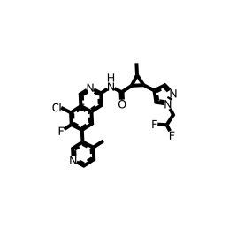 Cc1ccncc1-c1cc2cc(NC(=O)C3C(C)C3c3cnn(CC(F)F)c3)ncc2c(Cl)c1F